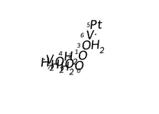 O.O.O.O.O.[Pt].[V].[V]